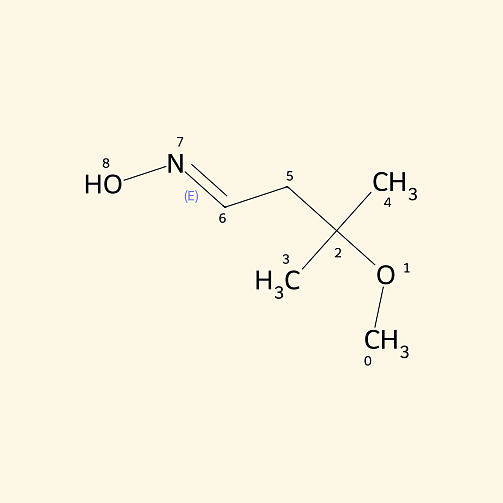 COC(C)(C)C/C=N/O